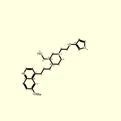 COc1ccc2nccc(CCC[C@@H]3CCN(CCSc4ccoc4)C[C@@H]3CO)c2c1